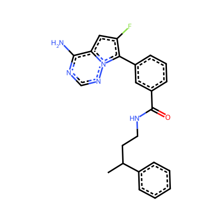 CC(CCNC(=O)c1cccc(-c2c(F)cc3c(N)ncnn23)c1)c1ccccc1